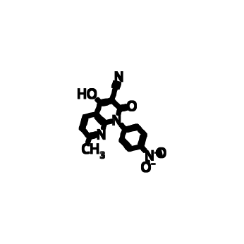 Cc1ccc2c(O)c(C#N)c(=O)n(-c3ccc([N+](=O)[O-])cc3)c2n1